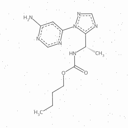 CCCCOC(=O)N[C@@H](C)c1ncnn1-c1cc(N)ncn1